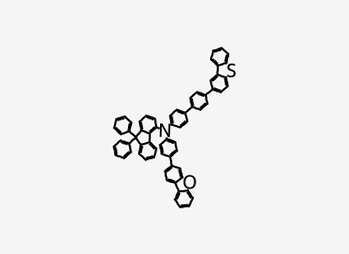 c1ccc(C2(c3ccccc3)c3ccccc3-c3c(N(c4ccc(-c5ccc(-c6ccc7sc8ccccc8c7c6)cc5)cc4)c4ccc(-c5ccc6c(c5)oc5ccccc56)cc4)cccc32)cc1